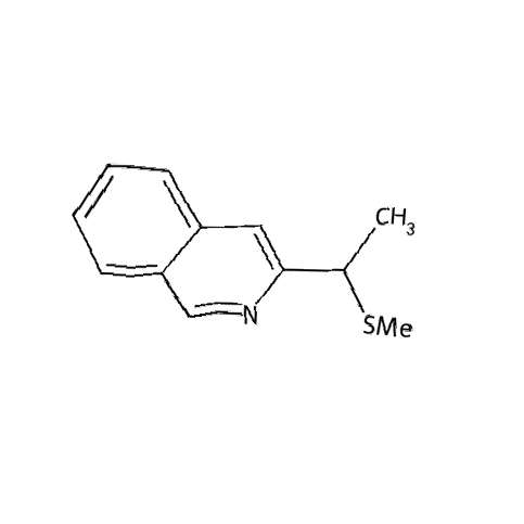 CSC(C)c1cc2ccccc2cn1